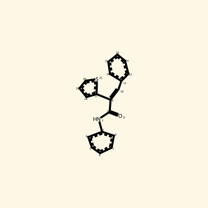 O=C(Nc1ccccc1)C(=Cc1ccccc1)c1cccs1